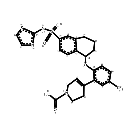 O=C(N1CC=C(c2cc(C(F)(F)F)ccc2O[C@@H]2CCCc3cc(S(=O)(=O)Nc4nccs4)ccc32)CC1)C(F)(F)F